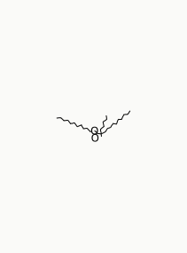 CCCCCCCCCCCOC(=O)C(C)(CCCCC)CCCCCCCCCC